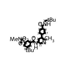 CNS(=O)(=O)c1cc(C(=O)Nc2cnc(C)c(-c3ccc(C(=O)NCC(C)(C)C)cc3)c2)cc(C(C)(C)C)c1